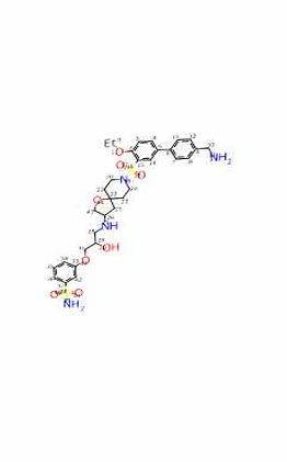 CCOc1ccc(-c2ccc(CN)cc2)cc1S(=O)(=O)N1CCC2(CC1)CC(NCC(O)COc1cccc(S(N)(=O)=O)c1)CO2